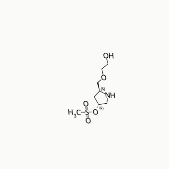 CS(=O)(=O)O[C@H]1CN[C@H](COCCO)C1